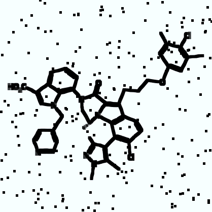 Cc1cc(OCCCc2c3n(c4c(-c5c(C)nn(C)c5C)c(Cl)ccc24)[C@H](C)CN(c2cccc4c(C(=O)O)cn(Cc5ccncc5)c24)C3=O)cc(C)c1Cl